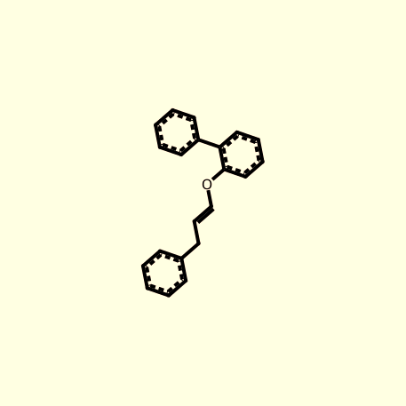 C(=COc1ccccc1-c1ccccc1)Cc1ccccc1